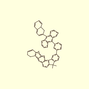 CC1(C)c2ccc(-c3cccc(-c4c5ccccc5c(C5=CC=C6C=CC=CC6C5)c5ccccc45)c3)cc2-c2c1ccc1cc3c4c(sc3cc21)C=CCC4